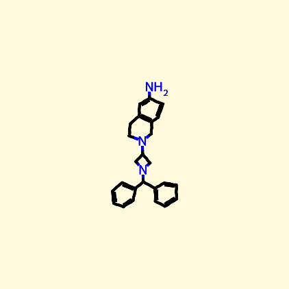 Nc1ccc2c(c1)CCN(C1CN(C(c3ccccc3)c3ccccc3)C1)C2